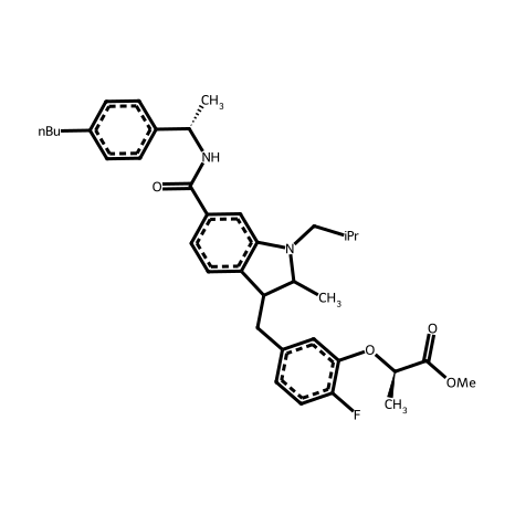 CCCCc1ccc([C@H](C)NC(=O)c2ccc3c(c2)N(CC(C)C)C(C)C3Cc2ccc(F)c(O[C@H](C)C(=O)OC)c2)cc1